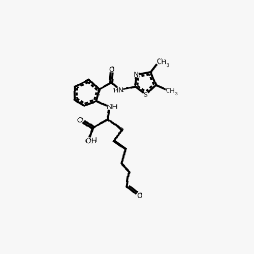 Cc1nc(NC(=O)c2ccccc2NC(CCCCCC=O)C(=O)O)sc1C